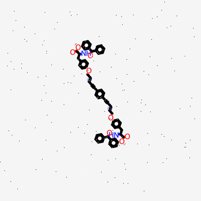 COC(=O)C(Cc1ccc(OC/C=C/C#Cc2ccc(C#C/C=C/COc3ccc(CC(Nc4ccccc4C(=O)c4ccccc4)C(=O)OC)cc3)cc2)cc1)Nc1ccccc1C(=O)c1ccccc1